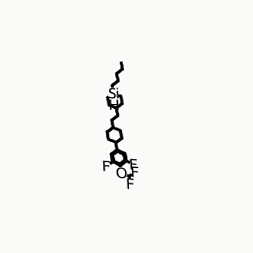 CCCCC[SiH]1CCC(CCC2CCC(c3cc(F)c(OC(F)F)c(F)c3)CC2)CC1